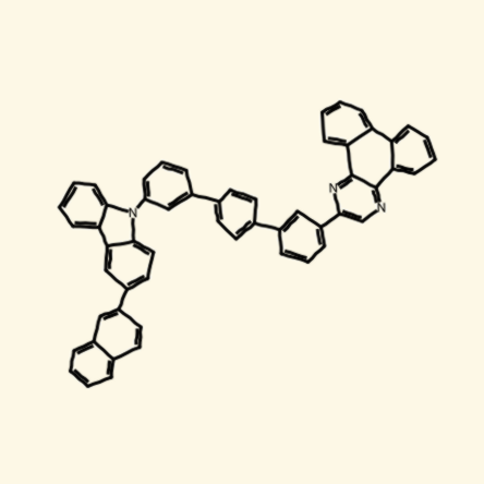 c1cc(-c2ccc(-c3cccc(-n4c5ccccc5c5cc(-c6ccc7ccccc7c6)ccc54)c3)cc2)cc(-c2cnc3c4ccccc4c4ccccc4c3n2)c1